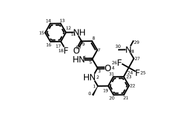 C[C@@H](NC(=O)C(=N)/C=C\C(=O)Nc1ccccc1F)c1cccc(C(F)(F)CN(C)C)c1